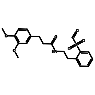 COc1ccc(CCC(=O)NCCc2ccccc2S(=O)(=O)[C]=O)cc1OC